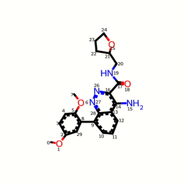 COc1ccc(OC)c(-c2cccc3c(N)c(C(=O)NCC4CCCO4)nnc23)c1